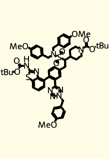 COc1ccc(CN(Cc2ccc(OC)cc2)S(=O)(=O)C(Cc2ccc(-c3cccc4sc(NC(=O)OC(C)(C)C)nc34)c(-c3nnn(Cc4ccc(OC)cc4)n3)c2)C2CCN(C(=O)OC(C)(C)C)CC2)cc1